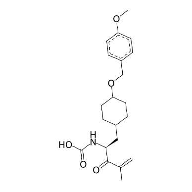 C=C(C)C(=O)[C@H](CC1CCC(OCc2ccc(OC)cc2)CC1)NC(=O)O